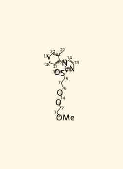 COCCOCOCCC[S+]([O-])c1nccn1-c1ccccc1C